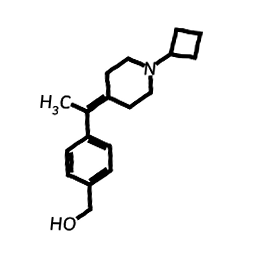 CC(=C1CCN(C2CCC2)CC1)c1ccc(CO)cc1